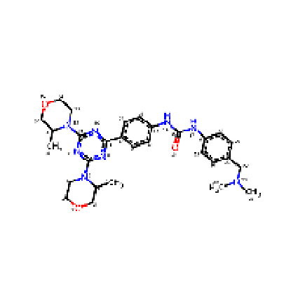 CC1COCCN1c1nc(-c2ccc(NC(=O)Nc3ccc(CN(C)C)cc3)cc2)nc(N2CCOCC2C)n1